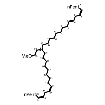 CCCCC/C=C\CC=CCCCCCCCCN(CCCCCCCC/C=C\C/C=C\CCCCC)CCOC